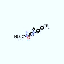 O=C(O)CCNC(=O)c1ccc(N(Cc2ccc(-c3ccc(C(F)(F)F)cc3)cc2)C2CCC2)nc1